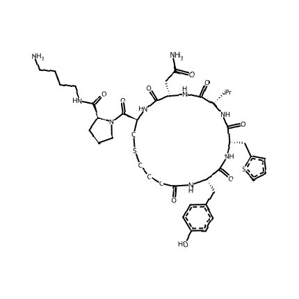 CC(C)[C@@H]1NC(=O)[C@H](Cc2cccs2)NC(=O)[C@H](Cc2ccc(O)cc2)NC(=O)CCCSC[C@@H](C(=O)N2CCC[C@H]2C(=O)NCCCCN)NC(=O)[C@H](CC(N)=O)NC1=O